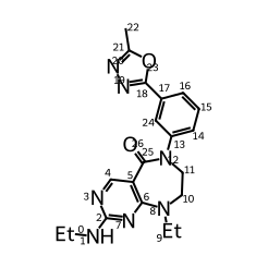 CCNc1ncc2c(n1)N(CC)CCN(c1cccc(-c3nnc(C)o3)c1)C2=O